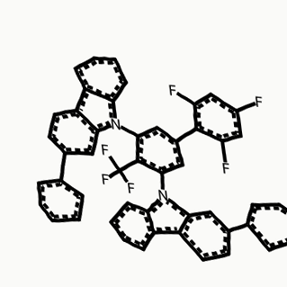 Fc1cc(F)c(-c2cc(-n3c4ccccc4c4ccc(-c5ccccc5)cc43)c(C(F)(F)F)c(-n3c4ccccc4c4ccc(-c5ccccc5)cc43)c2)c(F)c1